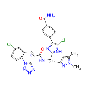 Cc1cc(C[C@H](NC(=O)/C=C/c2cc(Cl)ccc2-n2cnnn2)c2nc(-c3ccc(C(N)=O)cc3)c(Cl)[nH]2)nn1C